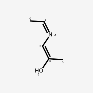 C/C=N\C=C(/C)O